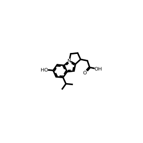 CC(C)c1cc(O)cc2c1cc1n2CCC1CC(=O)O